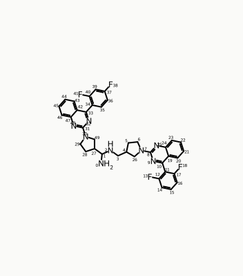 NC(NCC1CCN(c2nc(-c3c(F)cccc3F)c3ccccc3n2)C1)C1CCN(c2nc(-c3ccc(F)cc3F)c3ccccc3n2)C1